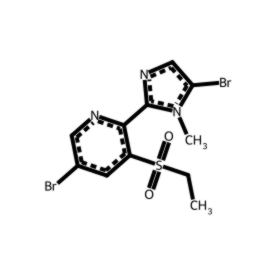 CCS(=O)(=O)c1cc(Br)cnc1-c1ncc(Br)n1C